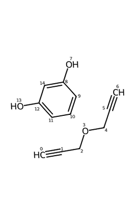 C#CCOCC#C.Oc1cccc(O)c1